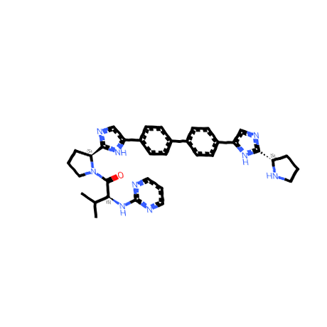 CC(C)[C@H](Nc1ncccn1)C(=O)N1CCC[C@H]1c1ncc(-c2ccc(-c3ccc(-c4cnc([C@@H]5CCCN5)[nH]4)cc3)cc2)[nH]1